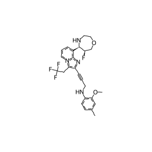 COc1cc(C)ccc1NCC#Cc1nc2c([C@H]3NCCOC[C@H]3F)cccn2c1CC(F)(F)F